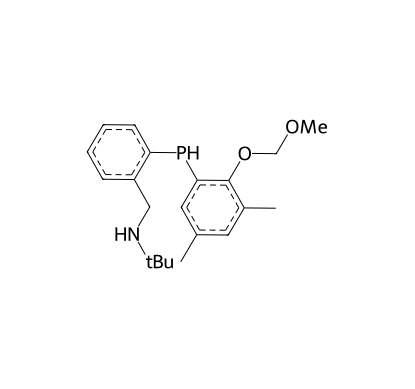 COCOc1c(C)cc(C)cc1Pc1ccccc1CNC(C)(C)C